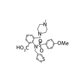 COc1ccc(S(=O)(=O)N(Cc2ccsc2)c2c(CN3CCN(C)CC3)cccc2C(=O)O)cc1